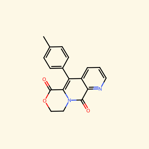 Cc1ccc(-c2c3n(c(=O)c4ncccc24)CCOC3=O)cc1